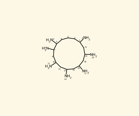 NC1CCCC(N)C(N)CC(N)CC(N)CC(N)CC(N)C1